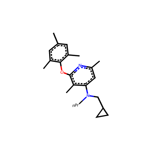 CCCN(CC1CC1)c1cc(C)nc(Oc2c(C)cc(C)cc2C)c1C